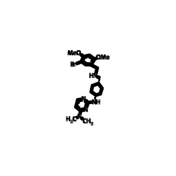 COc1cc(OC)c(CNC[C@H]2CC[C@@H](Nc3nccc(N(C)C)n3)CC2)cc1Br